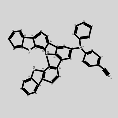 N#Cc1ccc(N(c2ccccc2)c2cc3c4ccc5c6ccccc6oc5c4n4c3c(c2)c2ccc3c5ccccc5oc3c24)cc1